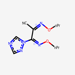 CCCO/N=C(C#N)\C(=N/OCCC)n1cncn1